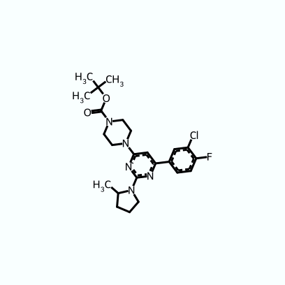 CC1CCCN1c1nc(-c2ccc(F)c(Cl)c2)cc(N2CCN(C(=O)OC(C)(C)C)CC2)n1